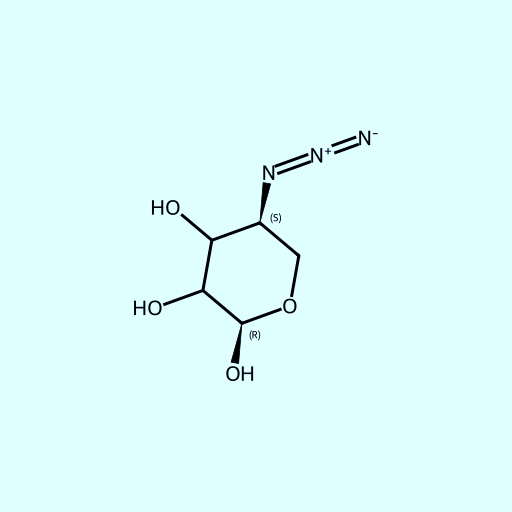 [N-]=[N+]=N[C@H]1CO[C@@H](O)C(O)C1O